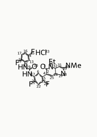 CCN1C(=O)C(c2cc(NC(=O)Nc3cc(F)ccc3F)c(F)cc2F)=CC2C=NC(NC)=CC21.Cl